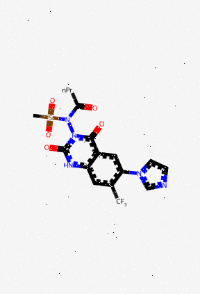 CCCC(=O)N(n1c(=O)[nH]c2cc(C(F)(F)F)c(-n3ccnc3)cc2c1=O)S(C)(=O)=O